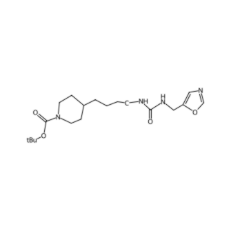 CC(C)(C)OC(=O)N1CCC(CCCCNC(=O)NCc2cnco2)CC1